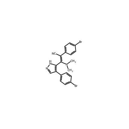 CN(C)C(=C(C#N)c1ccc(Br)cc1)c1[nH]ncc1-c1ccc(Br)cc1